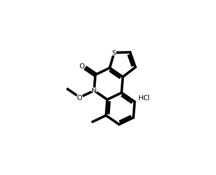 COn1c(=O)c2sccc2c2cccc(C)c21.Cl